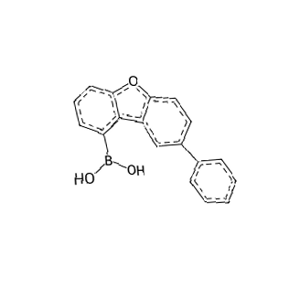 OB(O)c1cccc2oc3ccc(-c4ccccc4)cc3c12